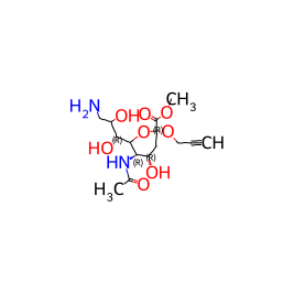 C#CCO[C@]1(C(=O)OC)C[C@@H](O)[C@@H](NC(C)=O)C([C@H](O)C(O)CN)O1